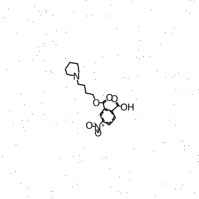 O=C(O)c1ccc([N+](=O)[O-])cc1C(=O)OCCCCN1CCCCC1